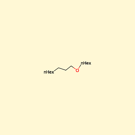 [CH2]CCCCCOCCCCCCCCC